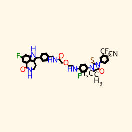 CC1(C)C(=O)N(c2ccc(C#N)c(C(F)(F)F)c2)C(=S)N1c1ccc(NCCOCC(=O)NCc2ccc(-c3[nH]c4cc(F)cc5c4c3CCNC5=O)cc2)c(F)c1